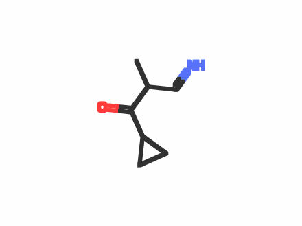 CC(C=N)C(=O)C1CC1